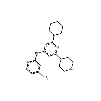 Cc1ccnc(Nc2cc(C3CCNCC3)nc(N3CCCCC3)n2)c1